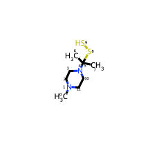 CN1CCN(C(C)(C)SS)CC1